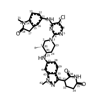 C[C@@H]1CN(c2ncc(Cl)c(Nc3ccc4c(c3)CC(=O)N4C)n2)CC[C@H]1Nc1ccc2c(C3CCC(=O)NC3=O)nn(C)c2c1